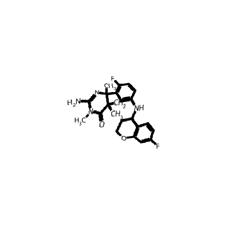 CN1C(=O)C(C)(C)C(C)(c2cc(NC3CCOc4cc(F)ccc43)ccc2F)N=C1N